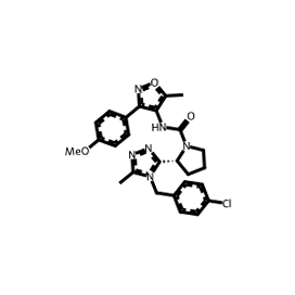 COc1ccc(-c2noc(C)c2NC(=O)N2CCC[C@@H]2c2nnc(C)n2Cc2ccc(Cl)cc2)cc1